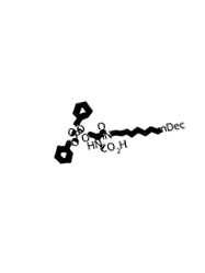 CCCCCCCCCCCCCCCCCCNC(=O)C(COP(=O)(OCc1ccccc1)OCc1ccccc1)NC(=O)O